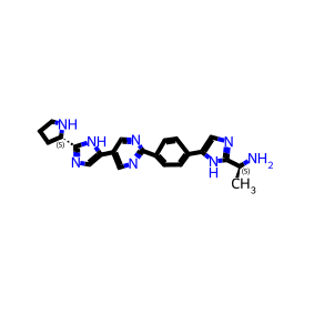 C[C@H](N)c1ncc(-c2ccc(-c3ncc(-c4cnc([C@@H]5CCCN5)[nH]4)cn3)cc2)[nH]1